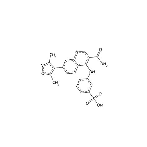 Cc1noc(C)c1-c1ccc2c(Nc3cccc(S(=O)(=O)O)c3)c(C(N)=O)cnc2c1